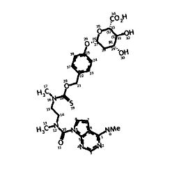 CNc1ncnc2c1ccn2C(=O)N(C)CCN(C)C(=S)OCc1ccc(O[C@H]2C[C@@H](O)[C@H](O)[C@@H](C(=O)O)O2)cc1